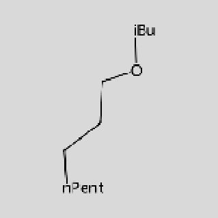 [CH2]C(CC)OCCCCCCCC